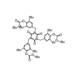 CC(C)c1cc(Cn2c(=O)n(Cc3cc(C(C)(C)C)c(OC(=O)OC(C)(C)C)c(C(C)(C)C)c3)c(=O)n(Cc3cc(C(C)(C)C)c(OC(=O)OC(C)(C)C)c(C(C)(C)C)c3)c2=O)cc(C(C)(C)C)c1OC(=O)OC(C)(C)C